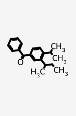 CCC(C)c1cc(C(=O)c2ccccc2)ccc1C(C)C